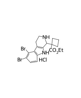 CCOC(=O)C1(C2NCCc3c2[nH]c2ccc(Br)c(Br)c32)CCC1.Cl